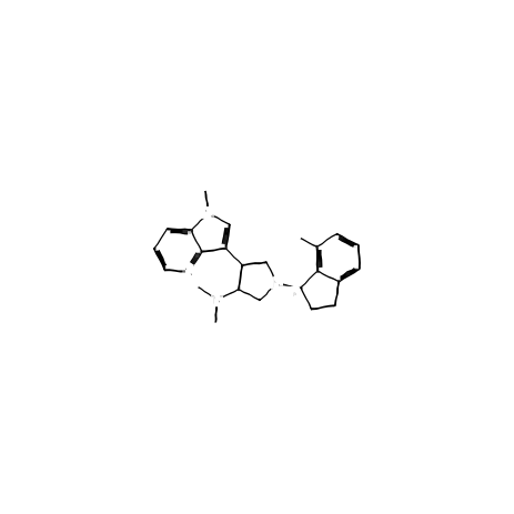 CN(C)C1CN([C@@H]2CCc3cccc(F)c32)CC1c1cn(C)c2cccnc12